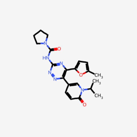 Cc1ccc(-c2nc(NC(=O)N3CCCC3)nnc2-c2ccc(=O)n(C(C)C)c2)o1